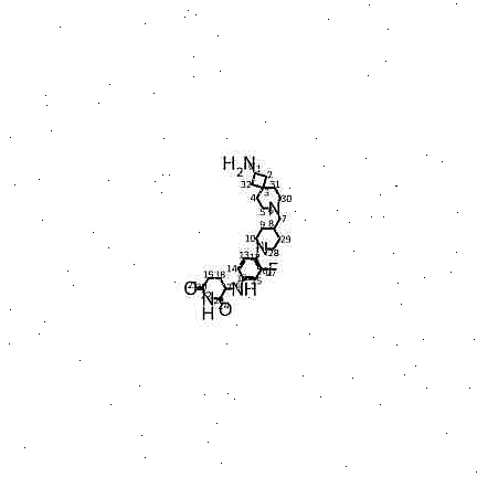 NC1CC2(CCN(CC3CCN(c4ccc(NC5CCC(=O)NC5=O)cc4F)CC3)CC2)C1